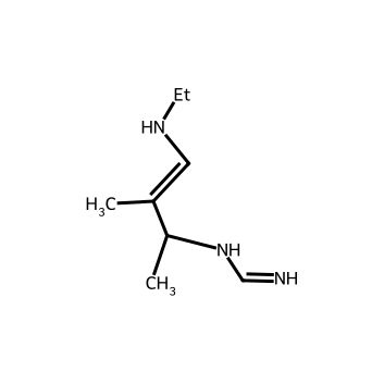 CCN/C=C(\C)C(C)NC=N